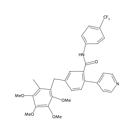 COc1c(C)c(Cc2ccc(-c3ccncc3)c(C(=O)Nc3ccc(C(F)(F)F)cc3)c2)c(OC)c(OC)c1OC